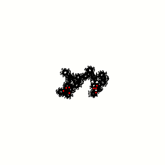 c1ccc(-c2ccc(-c3nc(-c4cccc5oc6ccc(-c7nc8ccccc8s7)cc6c45)nc(-n4c5ccccc5c5cc(-c6ccc(-c7nc(-c8ccccc8)nc(-c8ccc(-n9c%10ccccc%10c%10ccccc%109)cc8)n7)c7c6oc6ccc(-c8nc9ccccc9s8)cc67)ccc54)n3)cc2)cc1